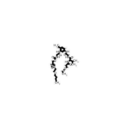 CCCCCOCCn1cc(COC(=O)NCC(=O)Nc2cc(NC(=O)CNC(=O)C(NC(=O)CCOCCC)C(C)C)ccc2CC)nn1